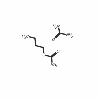 CCCCOC(N)=O.NC(N)=O